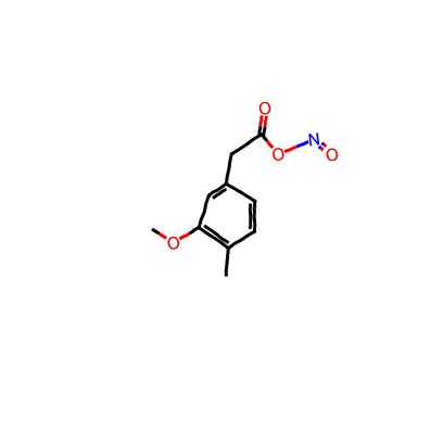 COc1cc(CC(=O)ON=O)ccc1C